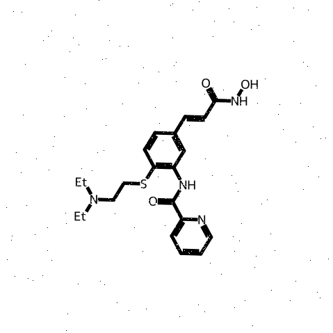 CCN(CC)CCSc1ccc(/C=C/C(=O)NO)cc1NC(=O)c1ccccn1